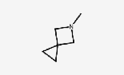 CN1CC2(CC2)C1